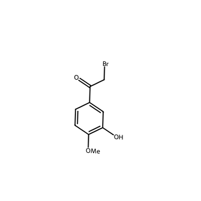 COc1ccc(C(=O)CBr)cc1O